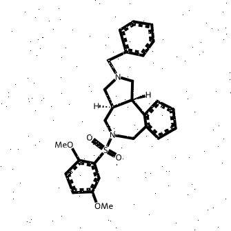 COc1ccc(OC)c(S(=O)(=O)N2Cc3ccccc3[C@H]3CN(Cc4ccccc4)C[C@@H]3C2)c1